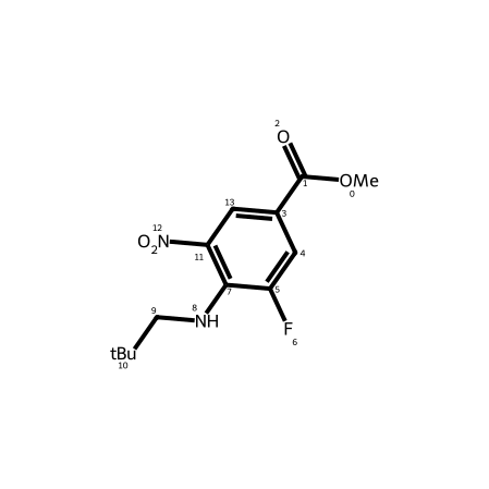 COC(=O)c1cc(F)c(NCC(C)(C)C)c([N+](=O)[O-])c1